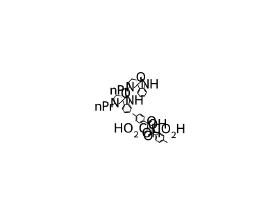 CCCN1CCC[C@]2(C1)C(=O)Nc1ccccc12.CCCN1CCC[C@]2(C1)C(=O)Nc1ccccc12.Cc1ccc(C(=O)C(O)(C(=O)O)C(O)(C(=O)O)C(=O)c2ccc(C)cc2)cc1